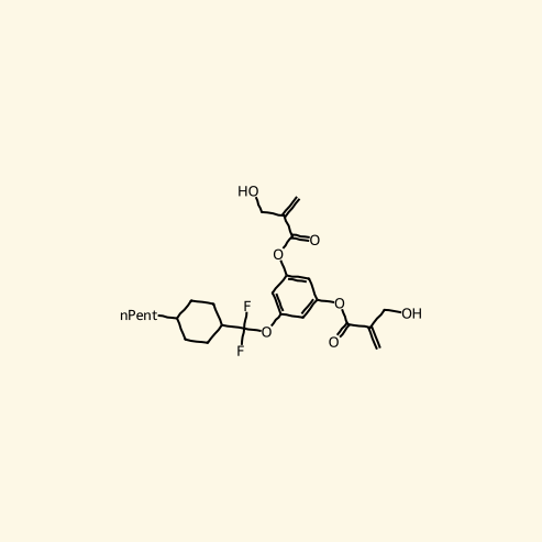 C=C(CO)C(=O)Oc1cc(OC(=O)C(=C)CO)cc(OC(F)(F)C2CCC(CCCCC)CC2)c1